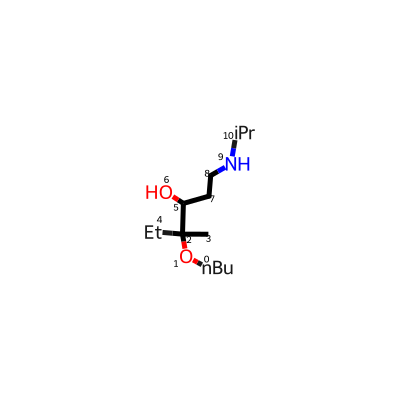 CCCCOC(C)(CC)C(O)CCNC(C)C